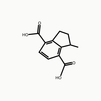 CC1CCc2c(C(=O)O)ccc(C(=O)O)c21